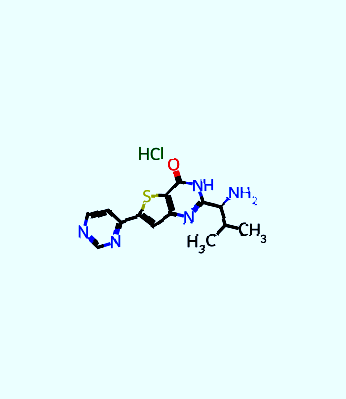 CC(C)[C@H](N)c1nc2cc(-c3ccncn3)sc2c(=O)[nH]1.Cl